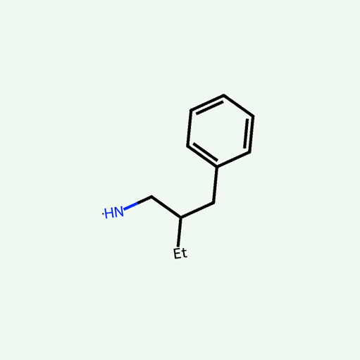 CCC(C[NH])Cc1ccccc1